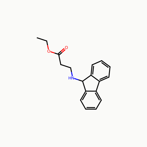 CCOC(=O)CCNC1c2ccccc2-c2ccccc21